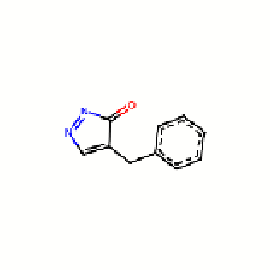 O=C1N=NC=C1Cc1ccccc1